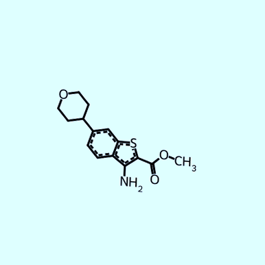 COC(=O)c1sc2cc(C3CCOCC3)ccc2c1N